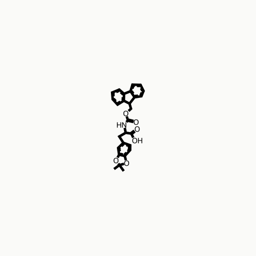 CC1(C)Oc2ccc(CC(NC(=O)OCC3c4ccccc4-c4ccccc43)C(=O)O)cc2O1